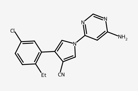 CCc1ccc(Cl)cc1-c1cn(-c2cc(N)ncn2)cc1C#N